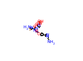 CC1(C)C(NC(=O)C(=NOCCOc2ccc(-c3cnn(CCCN)c3)cc2)c2csc(N)n2)C(=O)N1OS(=O)(=O)O